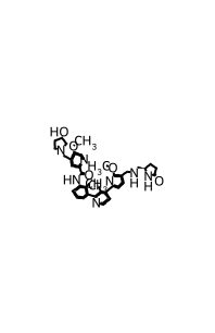 COc1cnc(C(=O)Nc2cccc(-c3nccc(-c4ccc(CNC[C@H]5CCC(=O)N5)c(OC)n4)c3Cl)c2C)cc1CN1CC[C@@H](O)C1